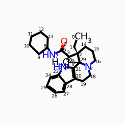 CC[C@@]1(C(C)C(=O)NC2CCCCC2)CCCN2CCc3c([nH]c4ccccc34)[C@@H]21